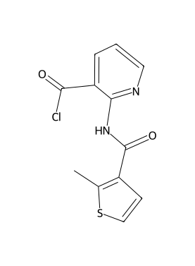 Cc1sccc1C(=O)Nc1ncccc1C(=O)Cl